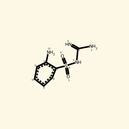 N=C(N)NS(=O)(=O)c1ccccc1N